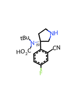 CC(C)(C)N(C(=O)O)[C@]1(c2ccc(F)cc2C#N)CCNC1